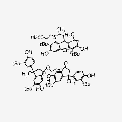 CC(C)(C)c1cc(C(C)(CC(=O)OCCOC(=O)CC(C)(c2ccc(O)c(C(C)(C)C)c2)c2ccc(O)c(C(C)(C)C)c2)c2ccc(O)c(C(C)(C)C)c2)ccc1O.CCCCCCCCCCCCSC(C)CC(c1cc(C(C)(C)C)c(O)cc1C)c1cc(C(C)(C)C)c(O)cc1C